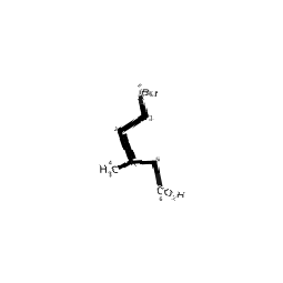 CCC(C)CC=C(C)CC(=O)O